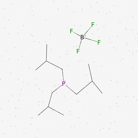 CC(C)CP(CC(C)C)CC(C)C.F[B-](F)(F)F